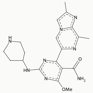 COc1nc(NC2CCNCC2)nc(-c2cn3cc(C)nc3c(C)n2)c1C(N)=O